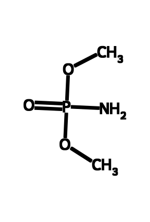 COP(N)(=O)OC